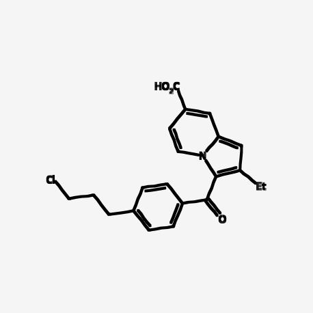 CCc1cc2cc(C(=O)O)ccn2c1C(=O)c1ccc(CCCCl)cc1